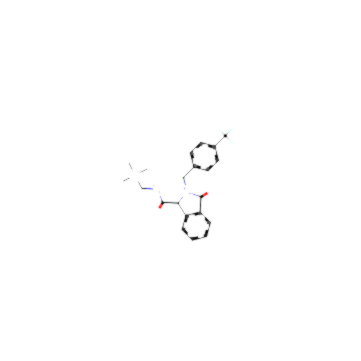 C[Si](C)(C)CNC(=O)C1c2ccccc2C(=O)N1Cc1ccc(C(F)(F)F)cc1